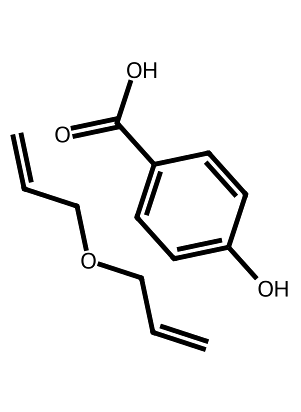 C=CCOCC=C.O=C(O)c1ccc(O)cc1